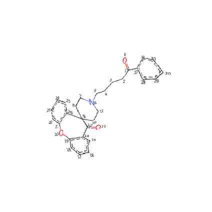 O=C(CCCCN1CCC2(CC1)C(=O)c1ccccc1Oc1ccccc12)c1ccccc1